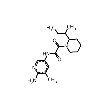 CCC(C)C1CCCCN1C(=O)C(=O)Nc1cnc(N)c(C)c1